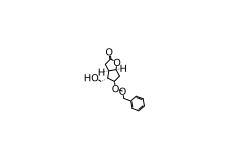 O=C1C[C@@H]2[C@@H](CO)[C@H](OOCc3ccccc3)C[C@@H]2O1